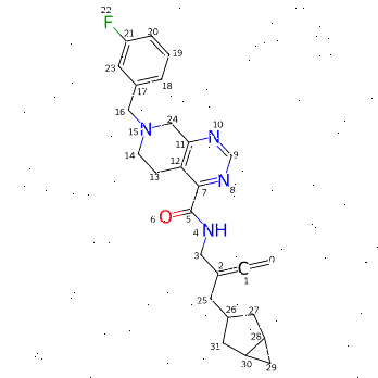 C=C=C(CNC(=O)c1ncnc2c1CCN(Cc1cccc(F)c1)C2)CC1CC2CC2C1